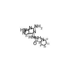 Nc1nc(NNC(=O)c2ccccn2)c2cn[nH]c2n1